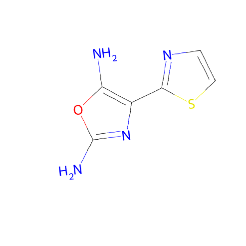 Nc1nc(-c2nccs2)c(N)o1